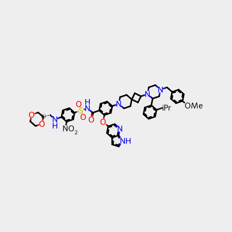 COc1ccc(CN2CCN(C3CC4(CCN(c5ccc(C(=O)NS(=O)(=O)c6ccc(NC[C@H]7COCCO7)c([N+](=O)[O-])c6)c(Oc6cnc7[nH]ccc7c6)c5)CC4)C3)C(c3ccccc3C(C)C)C2)cc1